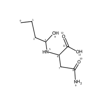 CCCC(O)NC(CC(N)=O)C(=O)O